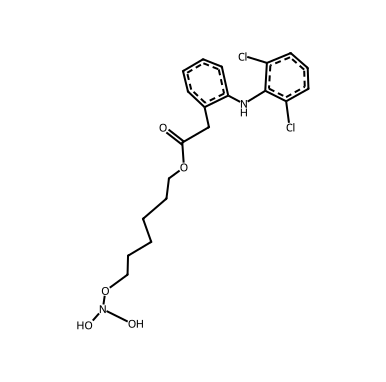 O=C(Cc1ccccc1Nc1c(Cl)cccc1Cl)OCCCCCCON(O)O